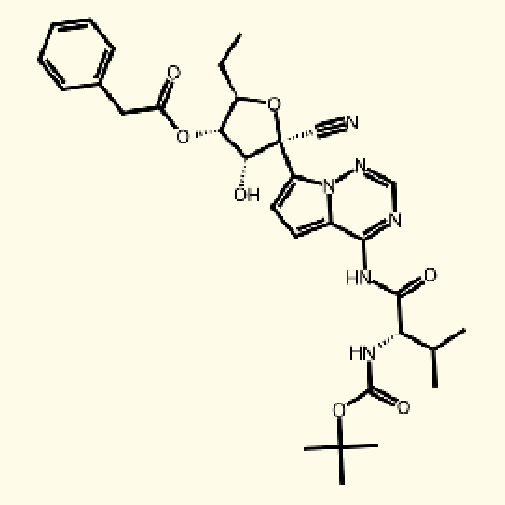 CC[C@H]1O[C@@](C#N)(c2ccc3c(NC(=O)[C@@H](NC(=O)OC(C)(C)C)C(C)C)ncnn23)[C@H](O)[C@@H]1OC(=O)Cc1ccccc1